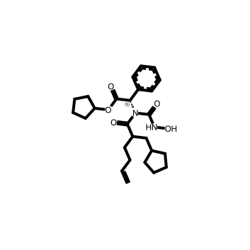 C=CCCC(CC1CCCC1)C(=O)N(C(=O)NO)[C@H](C(=O)OC1CCCC1)c1ccccc1